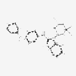 C[C@H]1CC(n2c(Nc3ccc(Oc4ccccc4)cc3)nc3ccccc32)CC(C)(C)C1